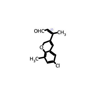 C/C(=C/C=O)C1=Cc2cc(Cl)cc(C)c2OC1